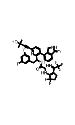 CC(C)(O)C#Cc1ccc(-c2cccc3c2CNC3=O)c(C(Cc2cc(F)cc(F)c2)NC(=O)CNC2=C(C(=N)C(F)(F)F)CCC2(F)F)n1